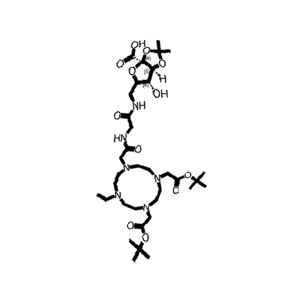 CCN1CCN(CC(=O)NCC(=O)NCC2O[C@@]3(C(=O)O)OC(C)(C)O[C@H]3[C@@H]2O)CCN(CC(=O)OC(C)(C)C)CCN(CC(=O)OC(C)(C)C)CC1